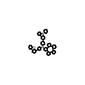 c1ccc(-n2c3ccccc3c3cc(-c4ccc(N(c5ccc(-c6cccc7c6oc6ccccc67)cc5)c5ccc6c7ccccc7c7ccccc7c7ccccc7c7ccccc7c6c5)cc4)ccc32)cc1